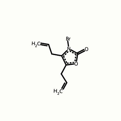 C=CCc1oc(=O)n(Br)c1CC=C